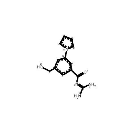 NC(N)=NC(=O)c1cc(CO)cc(-n2cccc2)c1